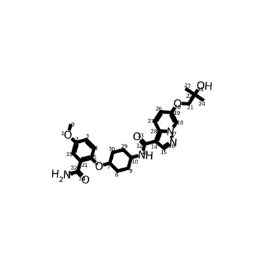 COc1ccc(OC2CCC(NC(=O)c3cnn4cc(OCC(C)(C)O)ccc34)CC2)c(C(N)=O)c1